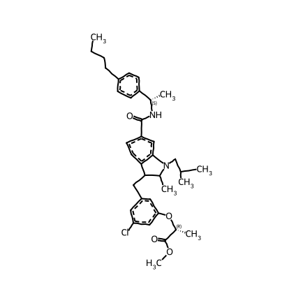 CCCCc1ccc([C@H](C)NC(=O)c2ccc3c(c2)N(CC(C)C)C(C)C3Cc2cc(Cl)cc(O[C@H](C)C(=O)OC)c2)cc1